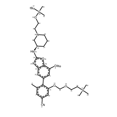 COc1cc(-c2c(C)cc(C#N)cc2OCOCC[Si](C)(C)C)nc2nc(N[C@@H]3CCCN(CCO[Si](C)(C)C(C)(C)C)C3)oc12